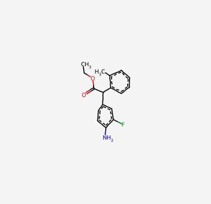 CCOC(=O)C(c1ccc(N)c(F)c1)c1ccccc1C